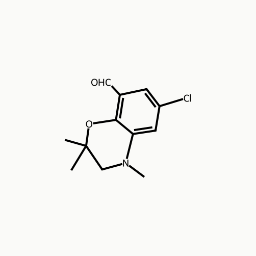 CN1CC(C)(C)Oc2c(C=O)cc(Cl)cc21